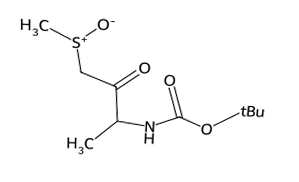 CC(NC(=O)OC(C)(C)C)C(=O)C[S+](C)[O-]